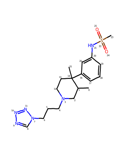 CC1CN(CCCn2cnnn2)CCC1(C)c1cccc(NS(C)(=O)=O)c1